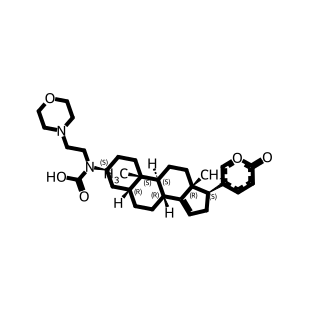 C[C@]12CC[C@H](N(CCN3CCOCC3)C(=O)O)C[C@H]1CC[C@H]1C3=CC[C@H](c4ccc(=O)oc4)[C@@]3(C)CC[C@@H]12